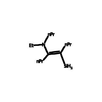 CCCC([SiH3])=C(CCC)N(CC)CCC